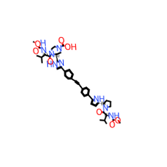 COC(=O)N[C@H](C(=O)N1CCC[C@H]1c1ccc(-c2ccc(C#Cc3ccc(-c4c[nH]c([C@@H]5CN(C(=O)O)CCN5C(=O)[C@@H](NC(=O)OC)C(C)C)n4)cc3)cc2)[nH]1)C(C)C